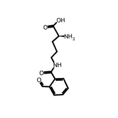 N[C@@H](CCCNC(=O)c1ccccc1C=O)C(=O)O